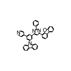 c1ccc(-c2nc(-c3cc(-c4ccncc4)cc(-n4c5ccccc5c5ccccc54)c3)cc(-c3cccc4c3oc3ccccc34)n2)cc1